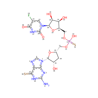 Nc1nc2c(ncn2[C@@H]2O[C@H](COP(O)(=S)OC[C@H]3O[C@@H](n4cc(F)c(=O)[nH]c4=O)[C@@H](O)[C@H]3O)C[C@@H]2O)c(=S)[nH]1